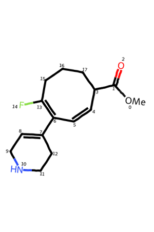 COC(=O)C1/C=C\C(C2=CCNCC2)=C(\F)CCC1